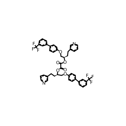 O=C(O[C@H](CCc1cccnc1)COc1ccc(-c2cccc(C(F)(F)F)c2)cc1)C(=O)O[C@H](CCc1cccnc1)COc1ccc(-c2cccc(C(F)(F)F)c2)cc1